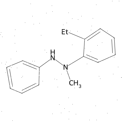 CCc1ccccc1N(C)Nc1ccccc1